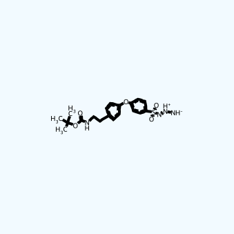 CC(C)(C)OC(=O)NCCc1ccc(Oc2ccc(S(=O)(=O)N=[NH+][NH-])cc2)cc1